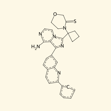 Nc1nccn2c(C3(N4CCOCC4=S)CCC3)nc(-c3ccc4ccc(-c5ccccc5)nc4c3)c12